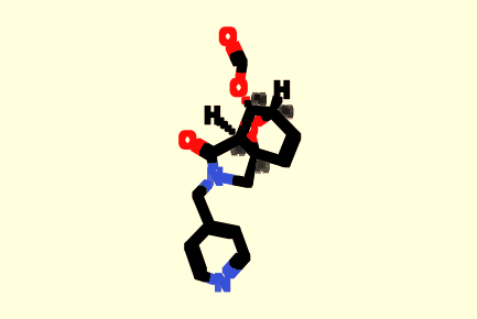 O=CO[C@@H]1[C@@H]2C=C[C@@]3(CN(Cc4ccncc4)C(=O)[C@@H]13)O2